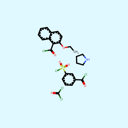 C1CCNC1.CCOc1ccc2ccccc2c1C(=O)Cl.O=C(Cl)Cl.O=C(Cl)c1cccc(S(=O)(=O)Cl)c1